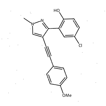 COc1ccc(C#Cc2cn(C)nc2-c2cc(Cl)ccc2O)cc1